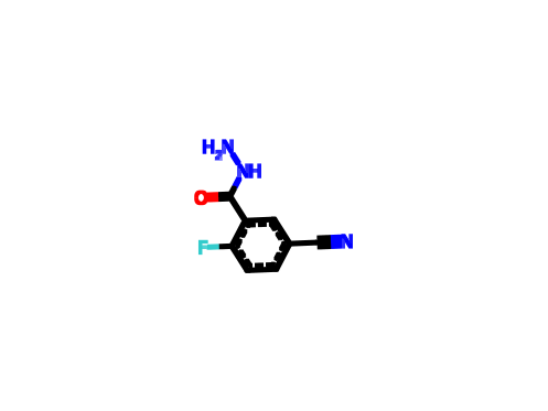 N#Cc1ccc(F)c(C(=O)NN)c1